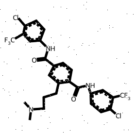 CN(C)CCCc1cc(C(=O)Nc2ccc(Cl)c(C(F)(F)F)c2)ccc1C(=O)Nc1ccc(Cl)c(C(F)(F)F)c1